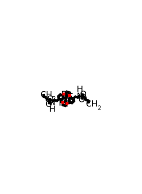 C=CCCS(=O)(=O)NCCc1ccc(F)[c]([Ti]([C]2=CC=CC2)([C]2=CC=CC2)[c]2c(F)ccc(CCNS(=O)(=O)CCC=C)c2F)c1F